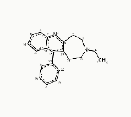 CCN1CCc2nc3ccccc3c(-c3ccccc3)c2CC1